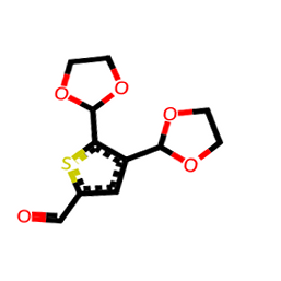 O=Cc1cc(C2OCCO2)c(C2OCCO2)s1